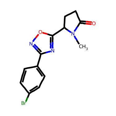 CN1C(=O)CCC1c1nc(-c2ccc(Br)cc2)no1